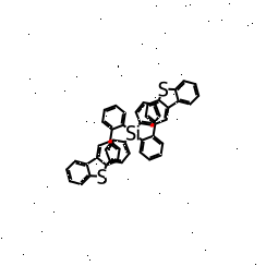 c1ccc([Si](c2ccccc2)(c2ccccc2-c2ccc3sc4ccccc4c3c2)c2ccccc2-c2ccc3sc4ccccc4c3c2)cc1